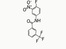 O=C(Nc1ccc(F)c([N+](=O)[O-])c1)c1cccc(C(F)(F)F)c1